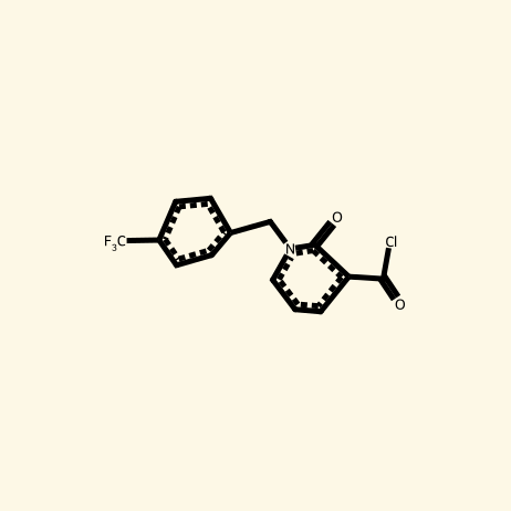 O=C(Cl)c1cccn(Cc2ccc(C(F)(F)F)cc2)c1=O